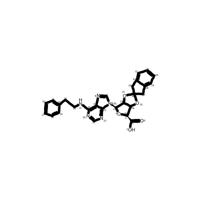 O=C(O)[C@H]1O[C@@H](n2cnc3c(NCCc4ccccc4)ncnc32)C2OC3(Cc4ccccc4C3)OC21